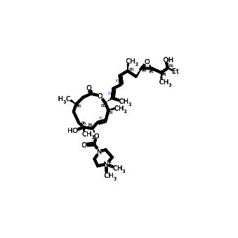 CC[C@H](O)[C@@H](C)[C@H]1O[C@@H]1C[C@H](C)/C=C/C=C(\C)[C@H]1OC(=O)C[C@H](C)CC[C@@](C)(O)[C@@H](OC(=O)N2CC[N+](C)(C)CC2)/C=C/[C@@H]1C